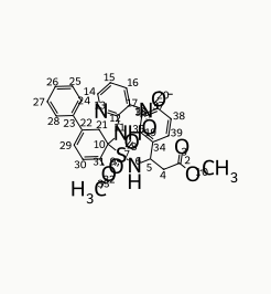 COC(=O)CC(NS(=O)(=O)C1(Nc2ncccc2[N+](=O)[O-])CC(c2ccccc2)=CC=C1OC)c1ccccc1